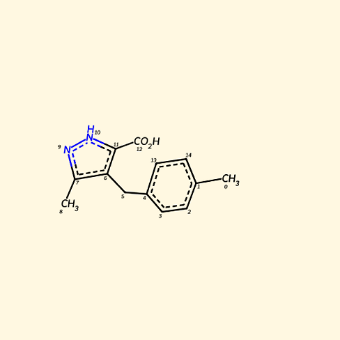 Cc1ccc(Cc2c(C)n[nH]c2C(=O)O)cc1